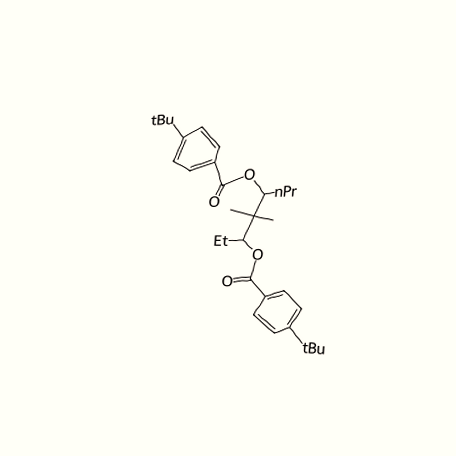 CCCC(OC(=O)c1ccc(C(C)(C)C)cc1)C(C)(C)C(CC)OC(=O)c1ccc(C(C)(C)C)cc1